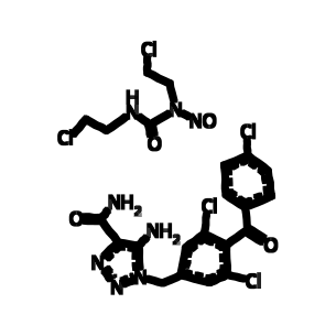 NC(=O)c1nnn(Cc2cc(Cl)c(C(=O)c3ccc(Cl)cc3)c(Cl)c2)c1N.O=NN(CCCl)C(=O)NCCCl